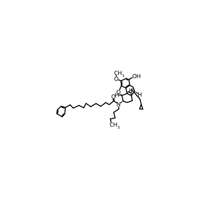 CCCCCN(C(=O)CCCCCCCCCCc1ccccc1)[C@@H]1CC[C@H]2[C@H]3Cc4c(O)cc(OC)c5c4[C@@]2(CCN3CC2CC2)[C@H]1O5